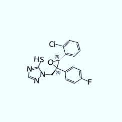 Fc1ccc([C@]2(Cn3ncnc3S)O[C@@H]2c2ccccc2Cl)cc1